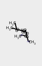 CC/C=C\CCCCOC(CCC(=O)OCC(CO)COC(=O)CCCCCCOC(=O)C(CCCCCC)CCCCCCCC)OCCCC/C=C\CC